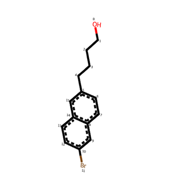 OCCCCc1ccc2cc(Br)ccc2c1